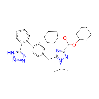 CC(C)n1nc(C(OC2CCCCC2)OC2CCCCC2)nc1Cc1ccc(-c2ccccc2-c2nnn[nH]2)cc1